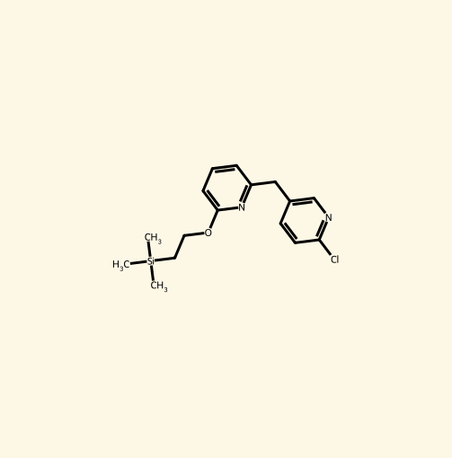 C[Si](C)(C)CCOc1cccc(Cc2ccc(Cl)nc2)n1